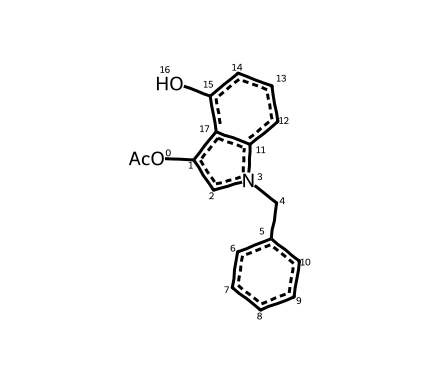 CC(=O)Oc1cn(Cc2ccccc2)c2cccc(O)c12